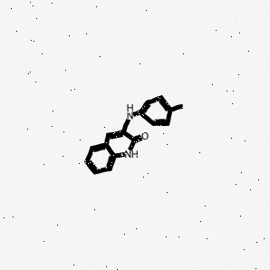 Cc1ccc(Nc2cc3ccccc3[nH]c2=O)cc1